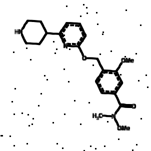 COc1cc(C(=O)N(C)OC)ccc1COc1cccc(C2CCNCC2)n1